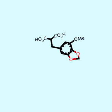 COc1cc(CC(C(=O)O)C(=O)O)cc2c1OCO2